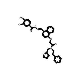 O=C(N/N=C/c1ccc(OCC(=O)N(CCc2ccccc2)Cc2ccco2)c2ccccc12)c1ccc(O)c(Cl)c1